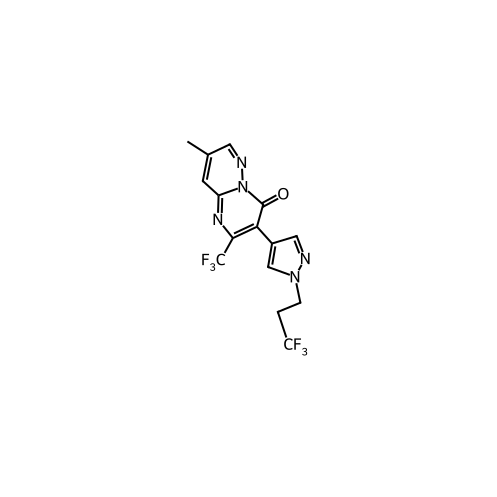 Cc1cnn2c(=O)c(-c3cnn(CCC(F)(F)F)c3)c(C(F)(F)F)nc2c1